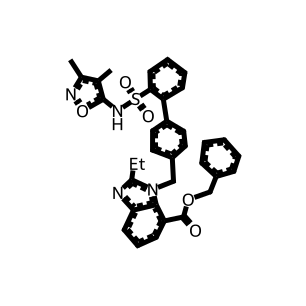 CCc1nc2cccc(C(=O)OCc3ccccc3)c2n1Cc1ccc(-c2ccccc2S(=O)(=O)Nc2onc(C)c2C)cc1